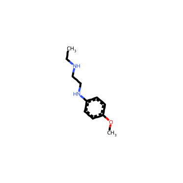 CCNCCNc1ccc(OC)cc1